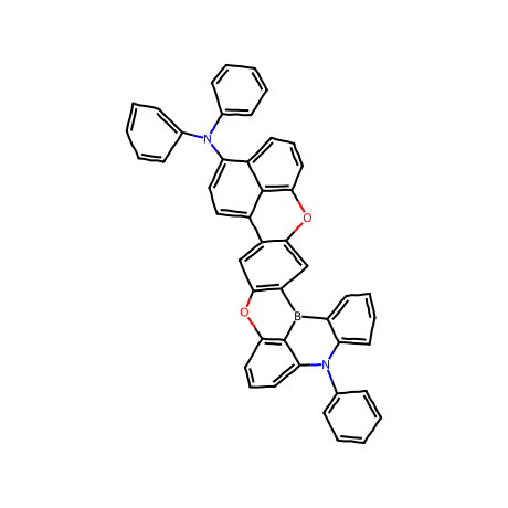 c1ccc(N2c3ccccc3B3c4cc5c(cc4Oc4cccc2c43)-c2ccc(N(c3ccccc3)c3ccccc3)c3cccc(c23)O5)cc1